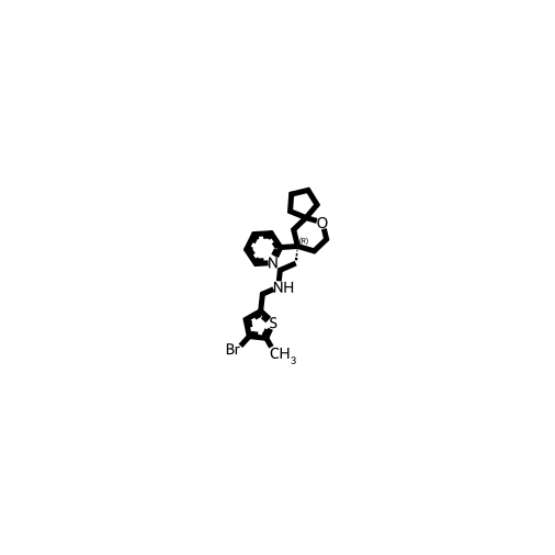 Cc1sc(CNCC[C@@]2(c3ccccn3)CCOC3(CCCC3)C2)cc1Br